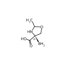 B[C@]1(C(=O)O)COC(C)N1